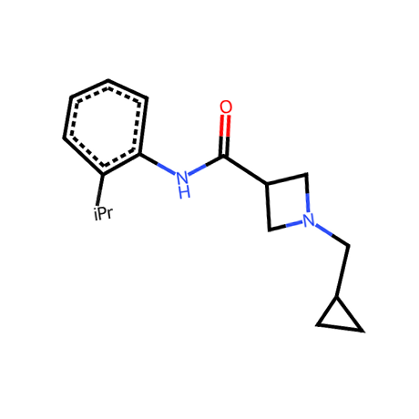 CC(C)c1ccccc1NC(=O)C1CN(CC2CC2)C1